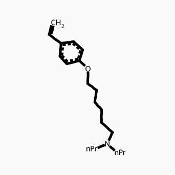 C=Cc1ccc(OCCCCCCN(CCC)CCC)cc1